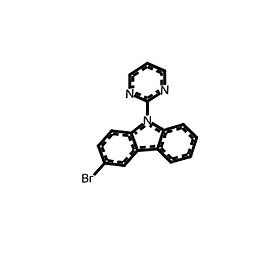 Brc1ccc2c(c1)c1ccccc1n2-c1ncccn1